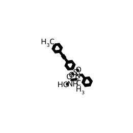 Cc1ccc(C#Cc2ccc(S(=O)(=O)N(Cc3ccccc3)[C@H](C)C(=O)NO)cc2)cc1